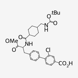 COC(=O)C(Cc1ccc(-c2ccc(C(=O)O)cc2Cl)cc1)NC(=O)C1CCC(CNC(=O)OC(C)(C)C)CC1